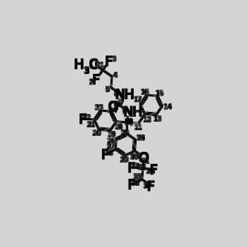 CC(F)(F)CCNC(=O)N[C@](Cc1ccccc1)(c1ccc(F)cc1)c1cc(F)cc(OC(F)(F)C(F)F)c1